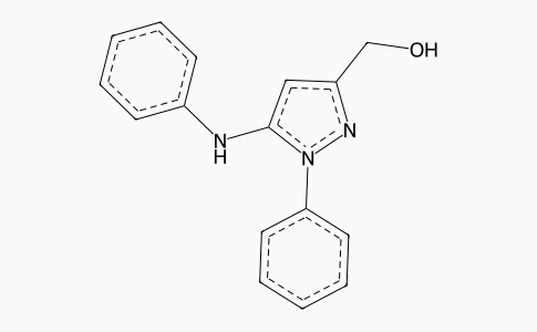 OCc1cc(Nc2ccccc2)n(-c2ccccc2)n1